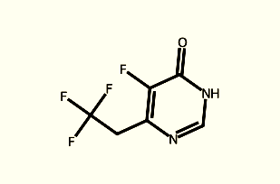 O=c1[nH]cnc(CC(F)(F)F)c1F